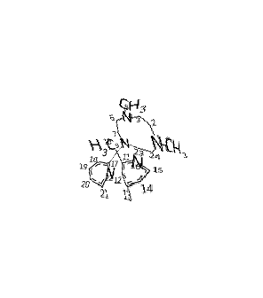 CN1CCN(C)CCN(C(C)(c2ccccn2)c2ccccn2)CC1